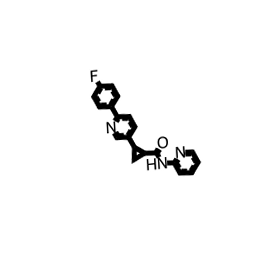 O=C(Nc1ccccn1)C1CC1c1ccc(-c2ccc(F)cc2)nc1